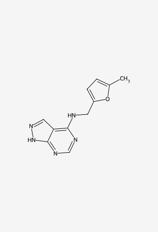 Cc1ccc(CNc2ncnc3[nH]ncc23)o1